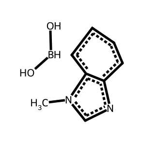 Cn1cnc2ccccc21.OBO